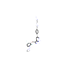 O=C(c1c(F)ccc(N(N2CC[C@@H](F)C2)[SH](=O)=O)c1F)c1c[nH]c2ncc(-c3ccc(C4CN(CCC5CN(C(=O)O)C5)C4)cc3)cc12